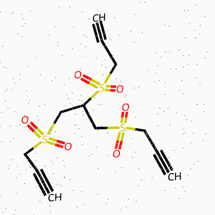 C#CCS(=O)(=O)CC(CS(=O)(=O)CC#C)S(=O)(=O)CC#C